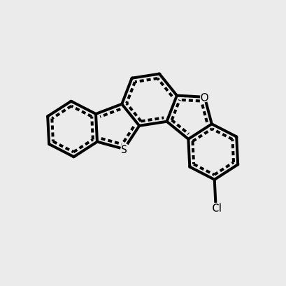 Clc1ccc2oc3ccc4c5ccccc5sc4c3c2c1